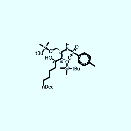 CCCCCCCCCCCCCC[C@@H](O)[C@@H](O[Si](C)(C)C(C)(C)C)[C@H](CO[Si](C)(C)C(C)(C)C)NS(=O)(=O)c1ccc(C)cc1